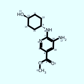 COC(=O)c1cnc(N[C@H]2CC[C@H](O)CC2)c(N)c1